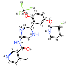 Cc1ccncc1C(=O)NC1=CNC(c2cc(Oc3ncccc3F)ccc2OC(F)(F)F)C=N1